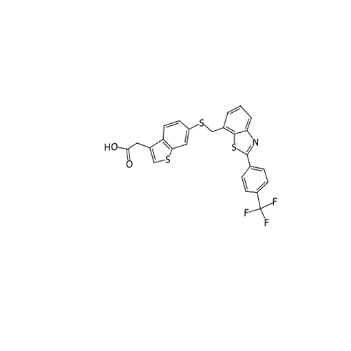 O=C(O)Cc1csc2cc(SCc3cccc4nc(-c5ccc(C(F)(F)F)cc5)sc34)ccc12